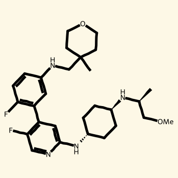 COC[C@H](C)N[C@H]1CC[C@H](Nc2cc(-c3cc(NCC4(C)CCOCC4)ccc3F)c(F)cn2)CC1